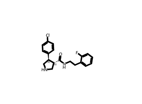 O=C(NCCc1ccccc1F)[C@@H]1CNC[C@H]1c1ccc(Cl)cc1